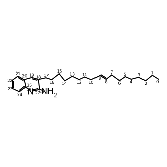 CCCCCCCCC=CCCCCCCCCc1cc2ccccc2nc1N